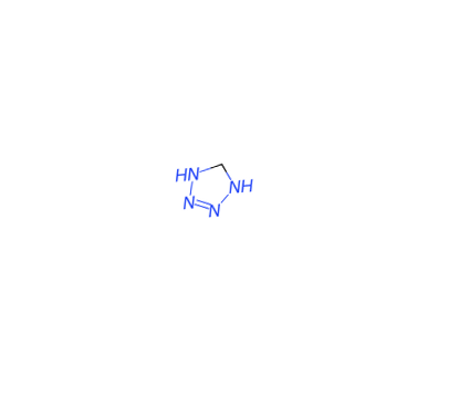 C1NN=NN1